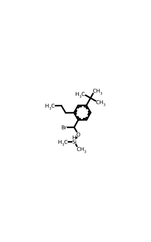 CCCc1cc(C(C)(C)C)ccc1C(Br)O[SiH](C)C